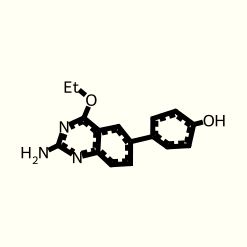 CCOc1nc(N)nc2ccc(-c3ccc(O)cc3)cc12